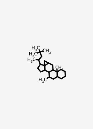 CC1CC2CCCCC2(C)C2CC3CC34C(C(C)CC(C)(C)C)CCC4C12